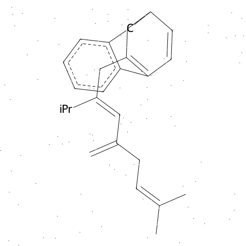 C=C(/C=C(/CC1=C2C=CC(C1)Cc1ccccc12)C(C)C)CC=C(C)C